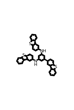 c1ccc2c(c1)sc1ccc(Nc3cc(Nc4ccc5sc6ccccc6c5c4)cc(-c4ccc5sc6ccccc6c5c4)c3)cc12